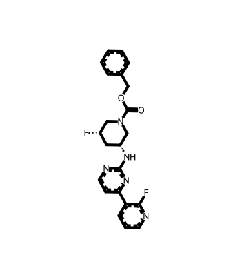 O=C(OCc1ccccc1)N1C[C@@H](F)C[C@@H](Nc2nccc(-c3cccnc3F)n2)C1